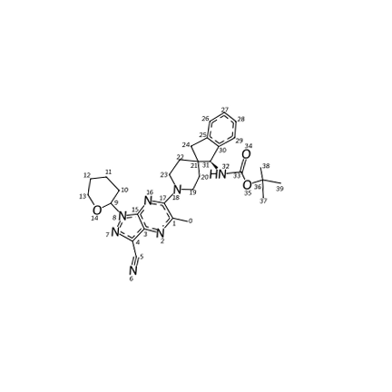 Cc1nc2c(C#N)nn(C3CCCCO3)c2nc1N1CCC2(CC1)Cc1ccccc1[C@H]2NC(=O)OC(C)(C)C